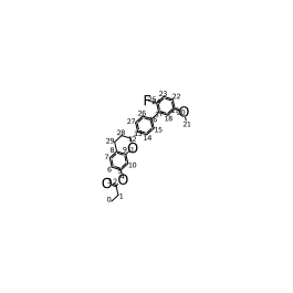 CCC(=O)Oc1ccc2c(c1)O[C@@H](c1ccc(-c3cc(OC)ccc3F)cc1)CC2